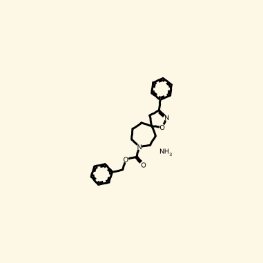 N.O=C(OCc1ccccc1)N1CCCC2(CC1)CC(c1ccccc1)=NO2